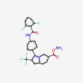 NOC(=O)c1ccc2cc(C(F)(F)F)c(-c3ccc(NC(=O)c4c(F)cccc4F)cc3)n2c1